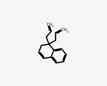 C=CCC1(CC=C)CC=Cc2ccccc21